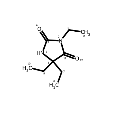 CCN1C(=O)NC(CC)(CC)C1=O